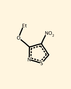 CCOc1nscc1[N+](=O)[O-]